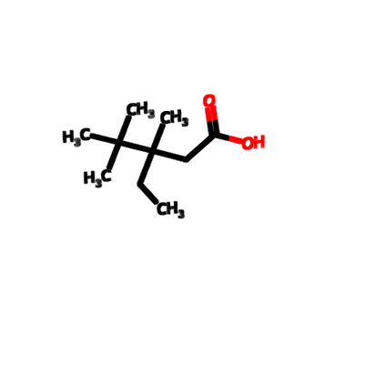 CCC(C)(CC(=O)O)C(C)(C)C